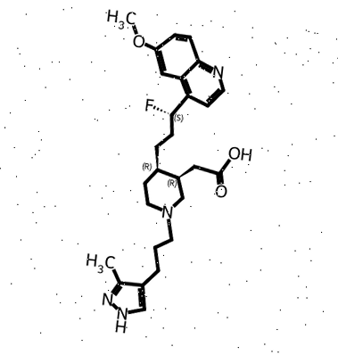 COc1ccc2nccc([C@@H](F)CC[C@@H]3CCN(CCCc4c[nH]nc4C)C[C@@H]3CC(=O)O)c2c1